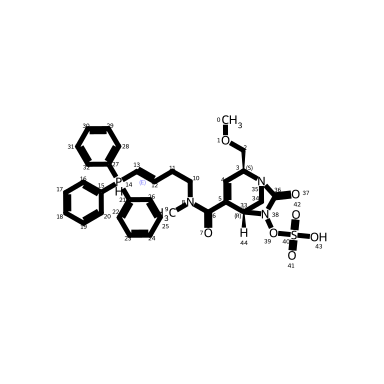 COC[C@@H]1C=C(C(=O)N(C)CC/C=C/[PH](c2ccccc2)(c2ccccc2)c2ccccc2)[C@@H]2CN1C(=O)N2OS(=O)(=O)O